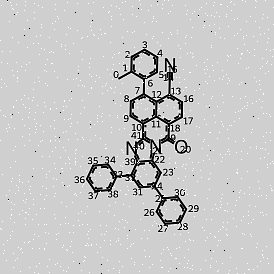 Cc1ccccc1-c1ccc2c3c1c(C#N)ccc3c(=O)n1c3cc(-c4ccccc4)cc(-c4ccccc4)c3nc21